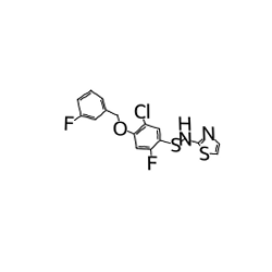 Fc1cccc(COc2cc(F)c(SNc3nccs3)cc2Cl)c1